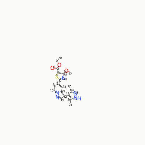 CCOC(=O)c1sc(-c2ccn3ncc(-c4c(C)n[nH]c4C)c3c2)nc1OC